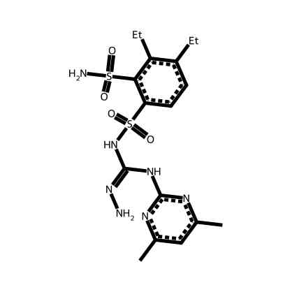 CCc1ccc(S(=O)(=O)NC(=NN)Nc2nc(C)cc(C)n2)c(S(N)(=O)=O)c1CC